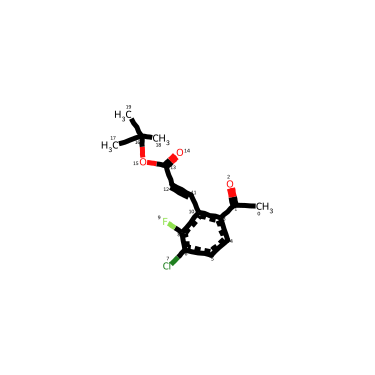 CC(=O)c1ccc(Cl)c(F)c1/C=C/C(=O)OC(C)(C)C